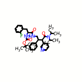 CC(C)N(C(=O)C(c1cccnc1)C(CNC(=O)C(Cc1ccccc1F)NC(=O)OC(C)(C)C)c1ccccc1)C(C)C